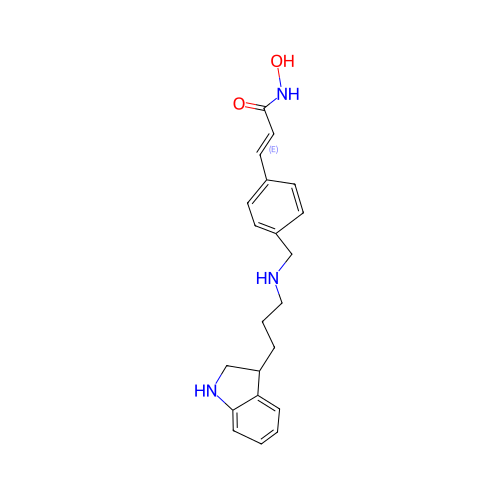 O=C(/C=C/c1ccc(CNCCCC2CNc3ccccc32)cc1)NO